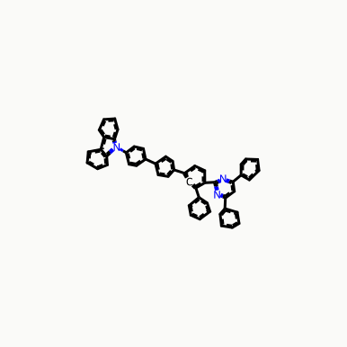 c1ccc(-c2cc(-c3ccccc3)nc(-c3ccc(-c4ccc(-c5ccc(-n6c7ccccc7c7ccccc76)cc5)cc4)cc3-c3ccccc3)n2)cc1